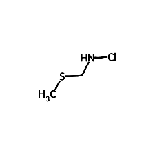 CSCNCl